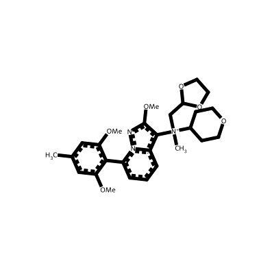 COc1cc(C)cc(OC)c1-c1cccc2c([N+](C)(CC3OCCO3)C3CCOCC3)c(OC)nn12